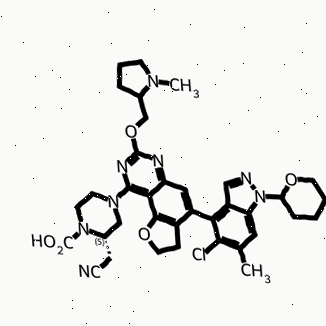 Cc1cc2c(cnn2C2CCCCO2)c(-c2cc3nc(OCC4CCCN4C)nc(N4CCN(C(=O)O)[C@@H](CC#N)C4)c3c3c2CCO3)c1Cl